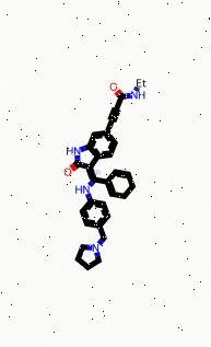 CCNC(=O)C#Cc1ccc2c(c1)NC(=O)/C2=C(\Nc1ccc(CN2CCCC2)cc1)C1=CCCC=C1